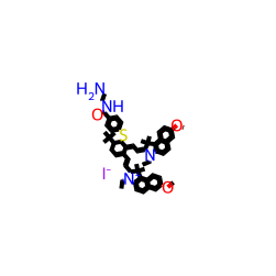 CCN1/C(=C/C=C2\C(/C=C/C3=[N+](CC)c4ccc5cc(OC)ccc5c4C3(C)C)=CCC(C(C)(C)C)C2Sc2ccc(C(=O)NCCN)cc2)C(C)(C)c2c1ccc1cc(OC)ccc21.[I-]